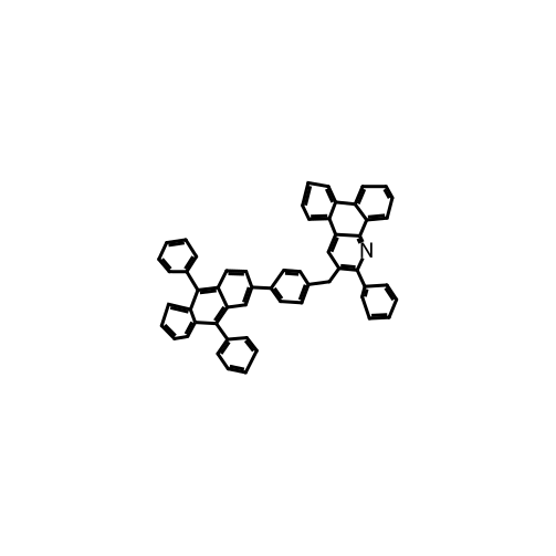 c1ccc(-c2nc3c4ccccc4c4ccccc4c3cc2Cc2ccc(-c3ccc4c(-c5ccccc5)c5ccccc5c(-c5ccccc5)c4c3)cc2)cc1